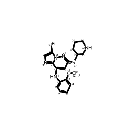 CC(C)c1cnc2c(Nc3ccccc3OC(F)(F)F)cc(SC3CCCNC3)nn12